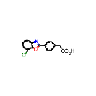 O=C(O)Cc1ccc(-c2nc3cccc(Cl)c3o2)cc1